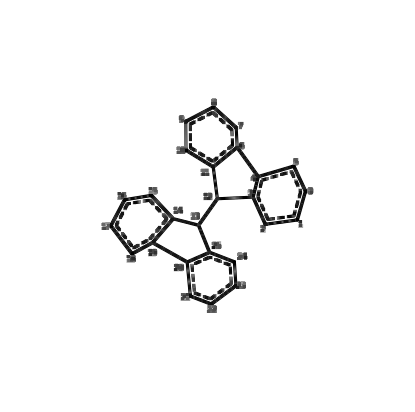 c1ccc2c(c1)-c1ccccc1C2C1c2ccccc2-c2ccccc21